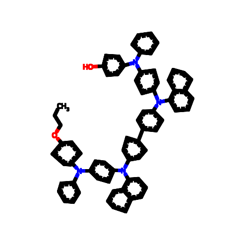 CCCOc1ccc(N(c2ccccc2)c2ccc(N(c3ccc(-c4ccc(N(c5ccc(N(c6ccccc6)c6ccc(O)cc6)cc5)c5cccc6ccccc56)cc4)cc3)c3cccc4ccccc34)cc2)cc1